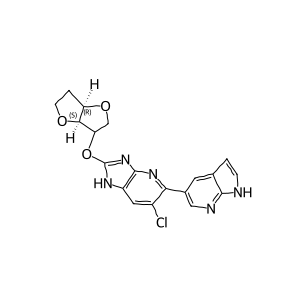 Clc1cc2[nH]c(OC3CO[C@@H]4CCO[C@H]34)nc2nc1-c1cnc2[nH]ccc2c1